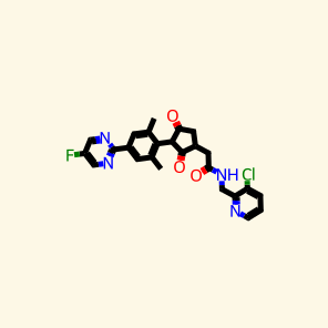 Cc1cc(-c2ncc(F)cn2)cc(C)c1C1C(=O)CC(CC(=O)NCc2ncccc2Cl)C1=O